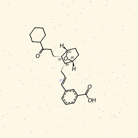 O=C(O)c1cccc(/C=C/C[C@@H]2[C@H](CCC(=O)C3CCCCC3)[C@@H]3CC[C@H]2O3)c1